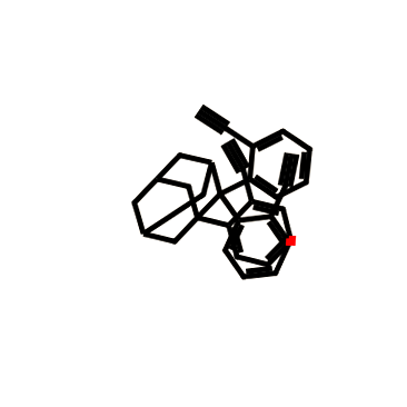 C#Cc1ccccc1C12CC3CC(CC(C3)C1(c1ccccc1C#C)c1ccccc1C#C)C2